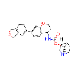 O=C(NC1CCOc2cc(-c3ccc4c(c3)COC4)ccc21)O[C@@H]1CN2CCC1CC2